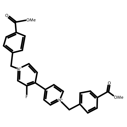 COC(=O)c1ccc(C[n+]2ccc(-c3cc[n+](Cc4ccc(C(=O)OC)cc4)cc3F)cc2)cc1